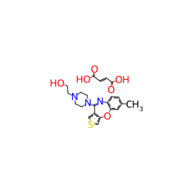 Cc1ccc2c(c1)Oc1cscc1C(N1CCN(CCO)CC1)=N2.O=C(O)C=CC(=O)O